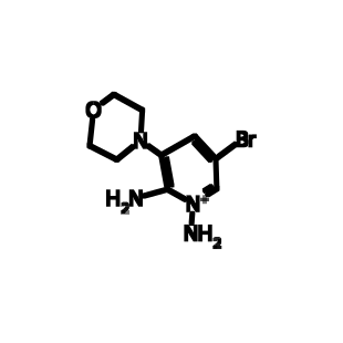 Nc1c(N2CCOCC2)cc(Br)c[n+]1N